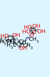 C/C(=C\CC[C@@H](C)[C@H]1[C@@H](O)C[C@@]2(C)[C@@H]3CC[C@H]4C(C)(C)[C@@H](O)C[C@H](O)[C@@]45C[C@@]35CC[C@]12C)CO[C@@H]1O[C@H](CO)[C@@H](O)[C@H](O)[C@H]1O